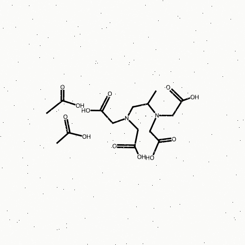 CC(=O)O.CC(=O)O.CC(CN(CC(=O)O)CC(=O)O)N(CC(=O)O)CC(=O)O